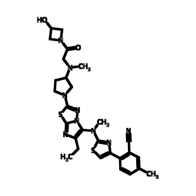 CCc1nc2sc(N3CCC(N(C)CC(=O)N4CC(O)C4)C3)nn2c1N(C)c1nc(-c2ccc(C)cc2C#N)cs1